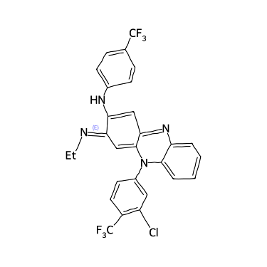 CC/N=c1\cc2n(-c3ccc(C(F)(F)F)c(Cl)c3)c3ccccc3nc-2cc1Nc1ccc(C(F)(F)F)cc1